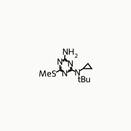 CSc1nc(N)nc(N(C2CC2)C(C)(C)C)n1